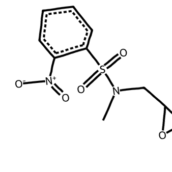 CN(CC1CO1)S(=O)(=O)c1ccccc1[N+](=O)[O-]